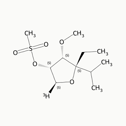 [3H][C@@H]1O[C@@](CC)(C(C)C)[C@@H](OC)[C@H]1OS(C)(=O)=O